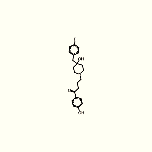 O=C(CCCN1CCC(O)(Cc2ccc(F)cc2)CC1)c1ccc(O)cc1